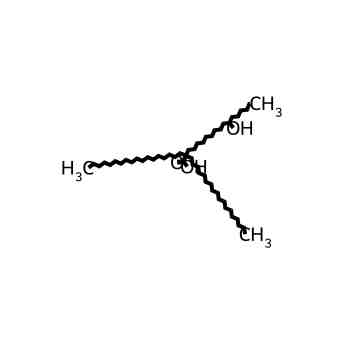 CCCCCCCCCCCCCCCCCCC(CCCCCCCCCCCCCCCCCC)(CCCCCCCCCC(O)CCCCCC)C(=O)O